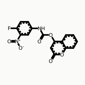 O=C(Nc1ccc(F)c([N+](=O)[O-])c1)Oc1cc(=O)oc2ccccc12